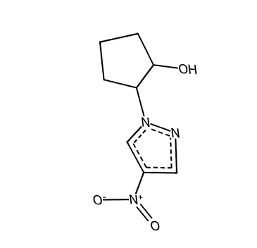 O=[N+]([O-])c1cnn(C2CCCC2O)c1